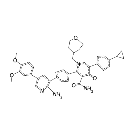 COc1ccc(-c2cnc(N)c(-c3ccc(-c4c(C(N)=O)c(=O)c(-c5ccc(C6CC6)cc5)cn4CC4CCOCC4)cc3)c2)cc1OC